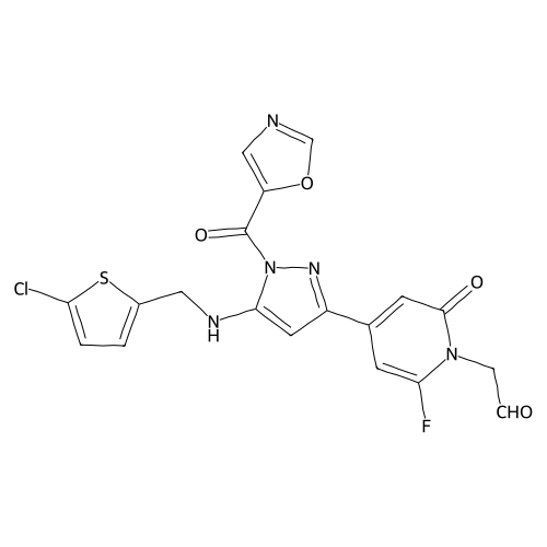 O=CCn1c(F)cc(-c2cc(NCc3ccc(Cl)s3)n(C(=O)c3cnco3)n2)cc1=O